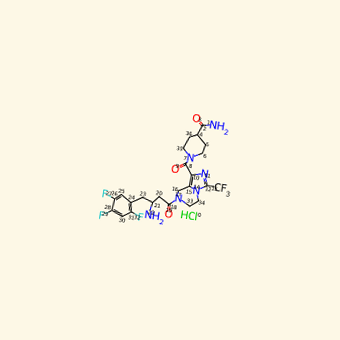 Cl.NC(=O)C1CCN(C(=O)c2nc(C(F)(F)F)n3c2CN(C(=O)CC(N)Cc2cc(F)c(F)cc2F)CC3)CC1